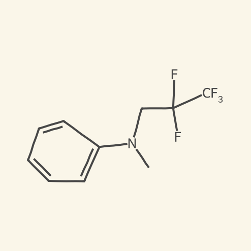 CN(CC(F)(F)C(F)(F)F)c1ccccc1